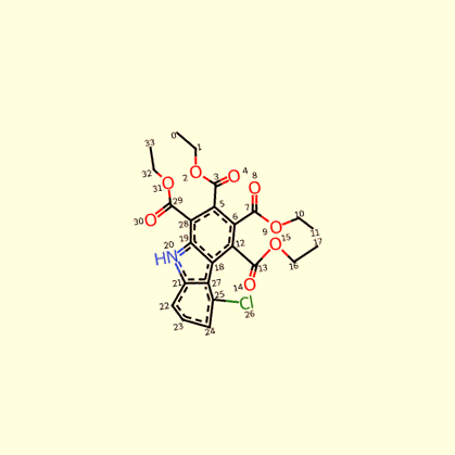 CCOC(=O)c1c(C(=O)OCC)c(C(=O)OCC)c2c([nH]c3cccc(Cl)c32)c1C(=O)OCC